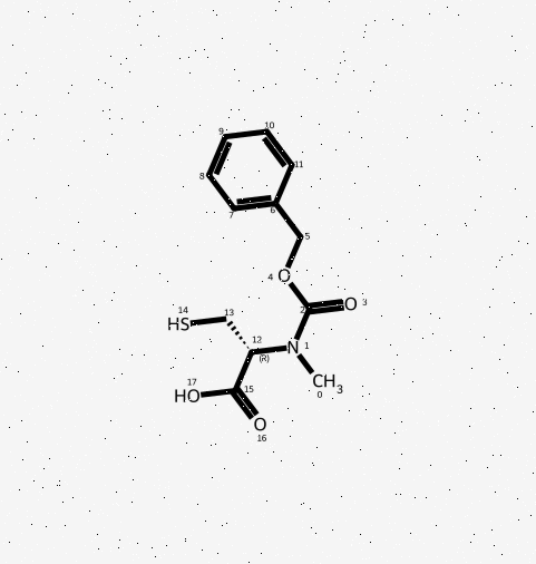 CN(C(=O)OCc1ccccc1)[C@@H](CS)C(=O)O